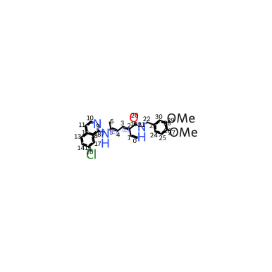 C=C/C(=C\C=C(/C)Nc1nccc2ccc(Cl)cc12)C(=O)NCc1ccc(OC)c(OC)c1